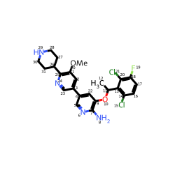 COc1cc(-c2cnc(N)c(OC(C)c3c(Cl)ccc(F)c3Cl)c2)cnc1C1CCNCC1